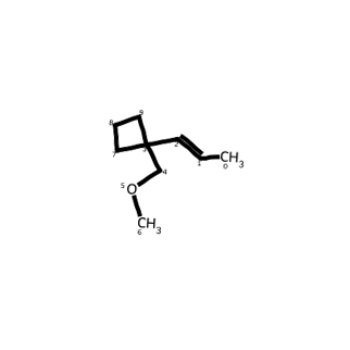 C/C=C/C1(COC)CCC1